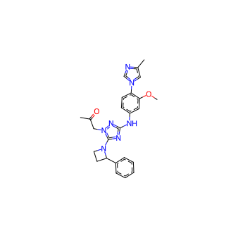 COc1cc(Nc2nc(N3CCC3c3ccccc3)n(CC(C)=O)n2)ccc1-n1cnc(C)c1